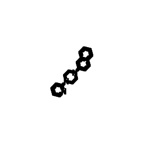 c1ccc(N2CCN(c3ccc4ccccc4c3)CC2)nc1